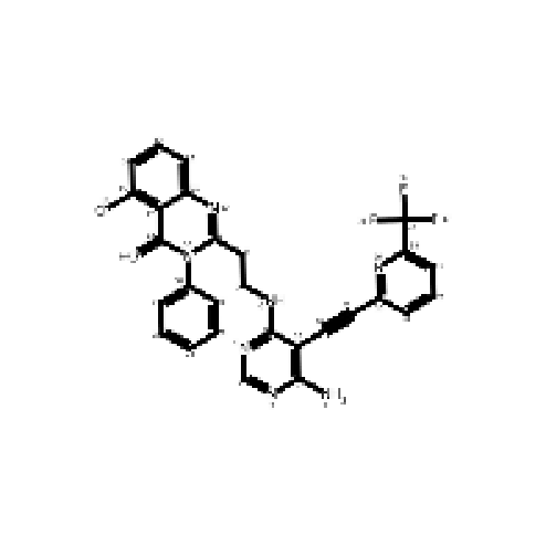 Nc1ncnc(NCCc2nc3cccc(Cl)c3c(=O)n2-c2ccccc2)c1C#Cc1cccc(C(F)(F)F)n1